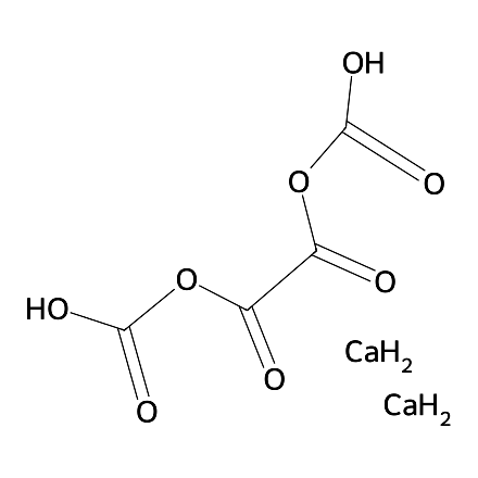 O=C(O)OC(=O)C(=O)OC(=O)O.[CaH2].[CaH2]